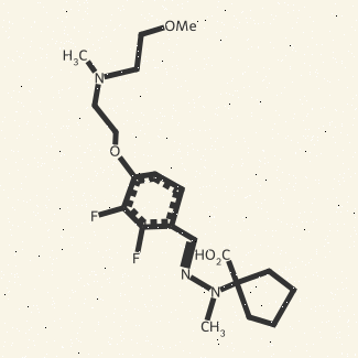 COCCN(C)CCOc1ccc(C=NN(C)C2(C(=O)O)CCCC2)c(F)c1F